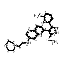 COc1[nH]nc(-c2cccc(C)n2)c1-c1ccc2ncc(NCCN3CCOCC3)cc2n1